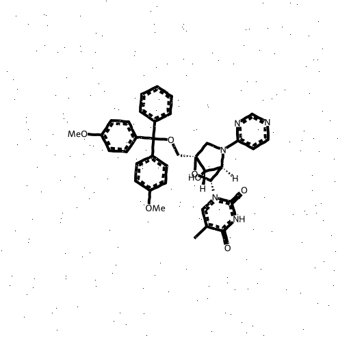 COc1ccc(C(OC[C@@]23CN(c4ccncn4)[C@@H]([C@H](n4cc(C)c(=O)[nH]c4=O)O2)[C@@H]3O)(c2ccccc2)c2ccc(OC)cc2)cc1